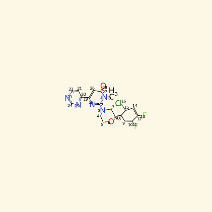 Cn1c(N2CCO[C@H](C3C=C(F)C(F)=CC3Cl)C2)nc(-c2ccncn2)cc1=O